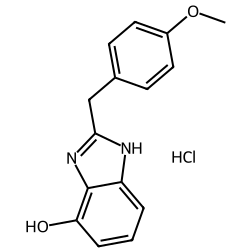 COc1ccc(Cc2nc3c(O)cccc3[nH]2)cc1.Cl